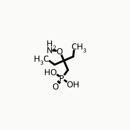 CCC(CC)(CP(=O)(O)O)ON